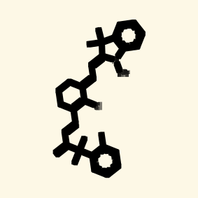 C=C(/C=C/C1=C(Cl)C(=C/C=C2\N(CCC)c3ccccc3C2(C)C)/CCC1)C(C)(C)c1ccccc1C